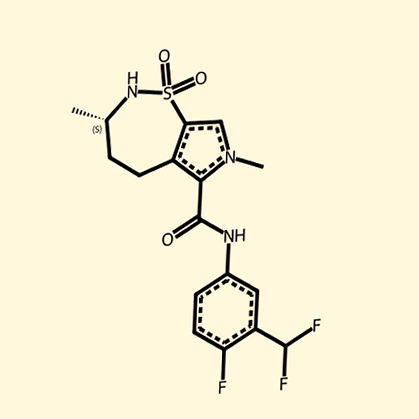 C[C@H]1CCc2c(cn(C)c2C(=O)Nc2ccc(F)c(C(F)F)c2)S(=O)(=O)N1